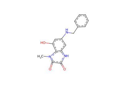 Cn1c(=O)c(=O)[nH]c2cc(NCc3ccccc3)cc(O)c21